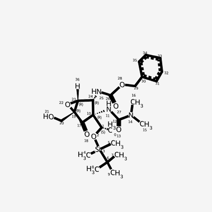 C[C@H](O[Si](C)(C)C(C)(C)C)[C@@]1(NC(=O)N(C)C)C(=O)[C@]2(CO)O[C@@H]2[C@@H]1NC(=O)OCc1ccccc1